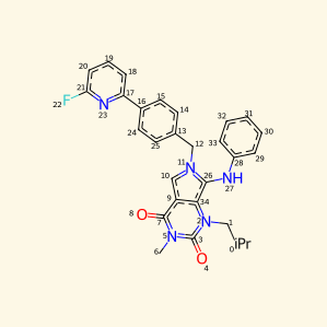 CC(C)Cn1c(=O)n(C)c(=O)c2cn(Cc3ccc(-c4cccc(F)n4)cc3)c(Nc3ccccc3)c21